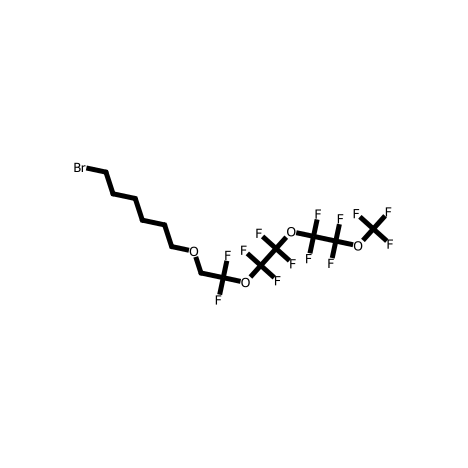 FC(F)(F)OC(F)(F)C(F)(F)OC(F)(F)C(F)(F)OC(F)(F)COCCCCCCBr